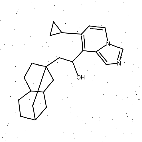 OC(CC12CCC3CCC(CC3C1)C2)c1c(C2CC2)ccn2cncc12